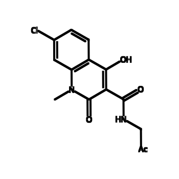 CC(=O)CNC(=O)c1c(O)c2ccc(Cl)cc2n(C)c1=O